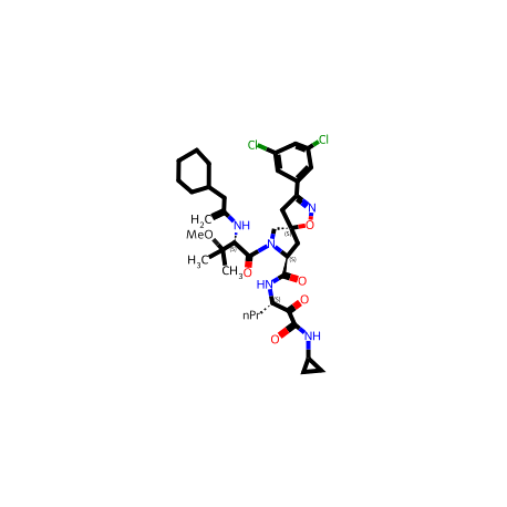 C=C(CC1CCCCC1)N[C@H](C(=O)N1C[C@@]2(CC(c3cc(Cl)cc(Cl)c3)=NO2)C[C@H]1C(=O)N[C@@H](CCC)C(=O)C(=O)NC1CC1)C(C)(C)OC